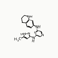 Cc1cc(Nc2cncc(Nc3ccc4c(c3)NCCC4)n2)n[nH]1